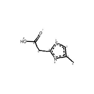 Cc1csc(CC(=O)O)n1